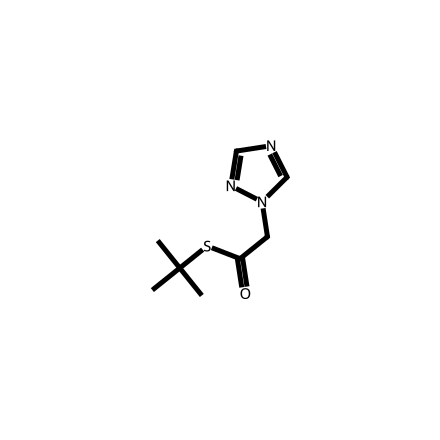 CC(C)(C)SC(=O)Cn1cncn1